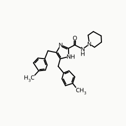 Cc1ccc(Cc2nc(C(=O)NN3CCCCC3)[nH]c2Cc2ccc(C)cc2)cc1